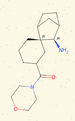 N[C@@H]1C2CCC(C2)[C@]12CCCC(C(=O)N1CCOCC1)C2